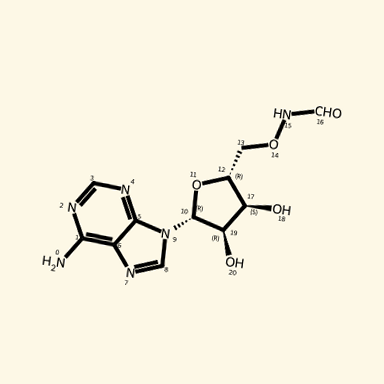 Nc1ncnc2c1ncn2[C@@H]1O[C@H](CONC=O)[C@@H](O)[C@H]1O